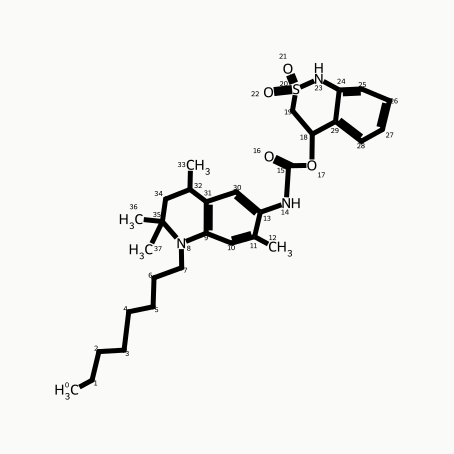 CCCCCCCCN1c2cc(C)c(NC(=O)OC3CS(=O)(=O)Nc4ccccc43)cc2C(C)CC1(C)C